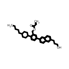 C=CC(=O)OCc1cc(-c2ccc3cc(CCCO)ccc3c2)ccc1C1CCC(CCCCC)CC1